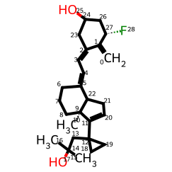 C=C1/C(=C\C=C2/CCC[C@]3(C)C(C4(CC(C)(C)O)CC4)=CCC23)CC(O)C[C@@H]1F